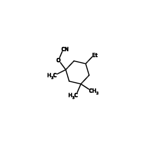 CCC1CC(C)(C)CC(C)(OC#N)C1